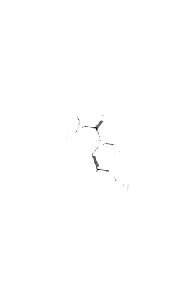 C=C(N(C)C)N(C)/C=C\SO